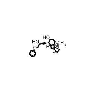 CO[C@]12CC[C@@H](O)[C@H](C#C[C@@H](O)COc3ccccc3)[C@H]1CC21OCCO1